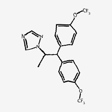 CC(C(c1ccc(OC(F)(F)F)cc1)c1ccc(OC(F)(F)F)cc1)n1cncn1